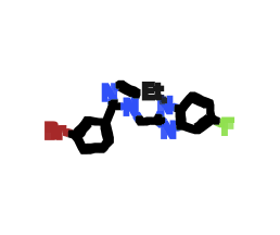 CCn1c(Cn2ccnc2-c2cccc(Br)c2)nc2cc(F)ccc21